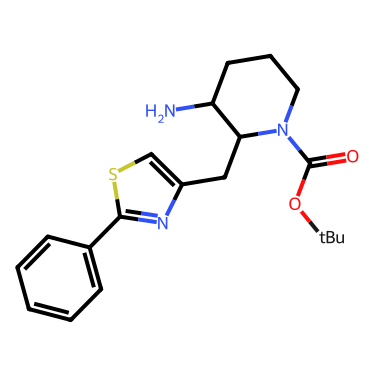 CC(C)(C)OC(=O)N1CCCC(N)C1Cc1csc(-c2ccccc2)n1